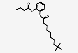 CCCC(=O)Oc1ccccc1OC(=O)CCCCCCCC(C)(C)C